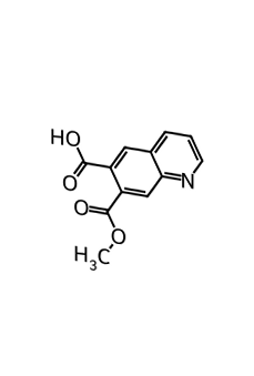 COC(=O)c1cc2ncccc2cc1C(=O)O